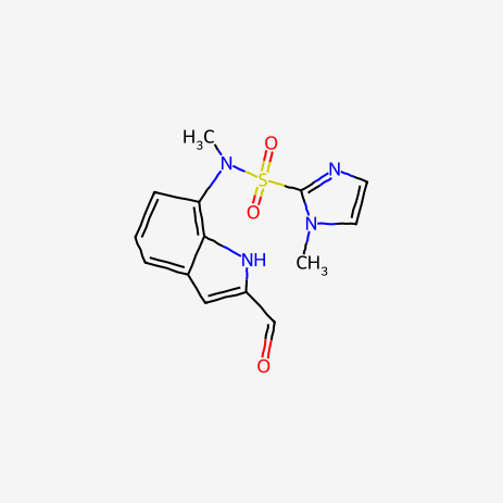 CN(c1cccc2cc(C=O)[nH]c12)S(=O)(=O)c1nccn1C